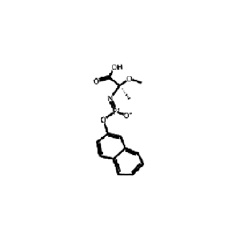 CO[C@@](C)(N=[P+]([O-])Oc1ccc2ccccc2c1)C(=O)O